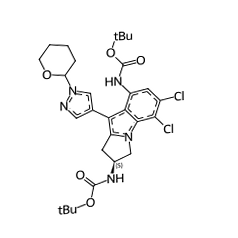 CC(C)(C)OC(=O)Nc1cc(Cl)c(Cl)c2c1c(-c1cnn(C3CCCCO3)c1)c1n2C[C@@H](NC(=O)OC(C)(C)C)C1